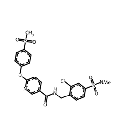 CNS(=O)(=O)c1ccc(CNC(=O)c2ccc(Oc3ccc(S(C)(=O)=O)cc3)nc2)c(Cl)c1